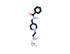 O=C(NCC1CCN(CCNSC(F)(F)F)CC1)c1ccccc1